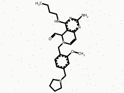 CCCCNc1nc(N)nc2c1C(C=O)N(Cc1ccc(CN3CCCC3)cc1OC)C=C2